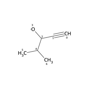 C#CC([O])C(C)C